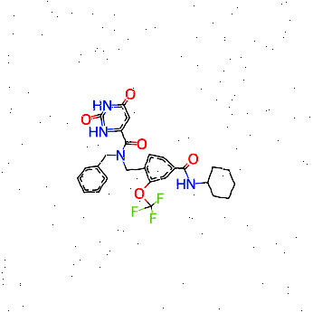 O=C(NC1CCCCC1)c1ccc(CN(Cc2ccccc2)C(=O)c2cc(=O)[nH]c(=O)[nH]2)c(OC(F)(F)F)c1